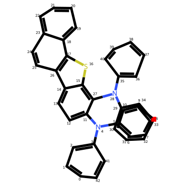 c1ccc(N(c2ccccc2)c2ccc3c(sc4c5ccccc5ccc34)c2N(c2ccccc2)c2ccccc2)cc1